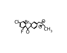 CCS(=O)(=O)Cc1ccc(C(=O)c2ccc(Cl)cc2F)c(Br)c1